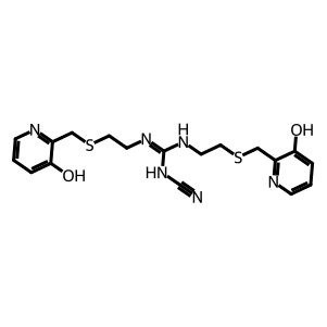 N#CN/C(=N\CCSCc1ncccc1O)NCCSCc1ncccc1O